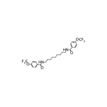 O=C(NCCCCCCCCCNC(=O)c1ccc(OC(F)(F)F)cc1)c1ccc(OC(F)(F)F)cc1